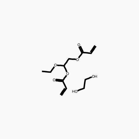 C=CC(=O)OCC(OCC)OC(=O)C=C.OCCO